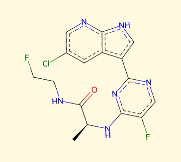 C[C@H](Nc1nc(-c2c[nH]c3ncc(Cl)cc23)ncc1F)C(=O)NCCF